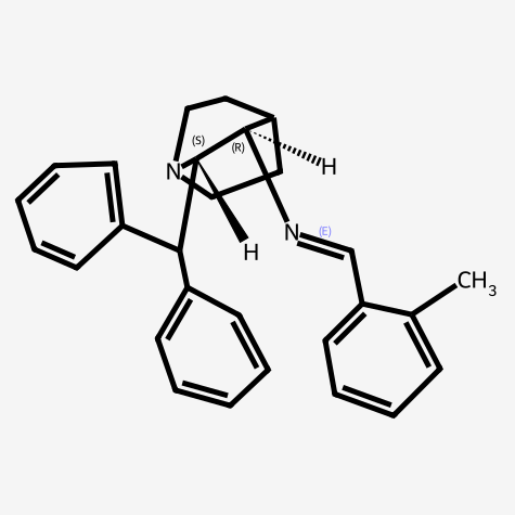 Cc1ccccc1/C=N/[C@@H]1C2CCN(CC2)[C@H]1C(c1ccccc1)c1ccccc1